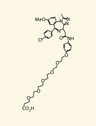 COc1ccc2c(c1)C(c1ccc(Cl)cc1)=NC(CC(=O)Nc1ccc(OCCOCCOCCOCCOCCOCCC(=O)O)cc1)c1nnc(C)n1-2